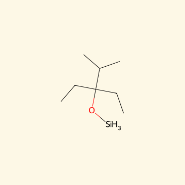 CCC(CC)(O[SiH3])C(C)C